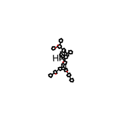 C1=C(c2ccc(-n3c4ccc(-c5ccc(-c6ccccc6)cc5)cc4c4cc(-c5ccc(-c6ccccc6)cc5)ccc43)cc2)C2NSN=C2C(N(c2ccccc2)c2ccc(-c3cc(-c4ccccc4)cc(-c4ccccc4)c3)cc2)=C1